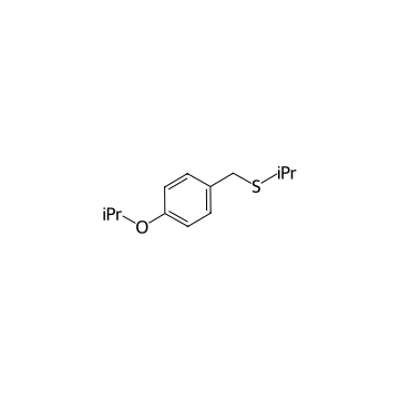 CC(C)Oc1ccc(CSC(C)C)cc1